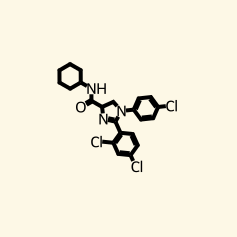 O=C(NC1CCCCC1)C1CN(c2ccc(Cl)cc2)C(c2ccc(Cl)cc2Cl)=N1